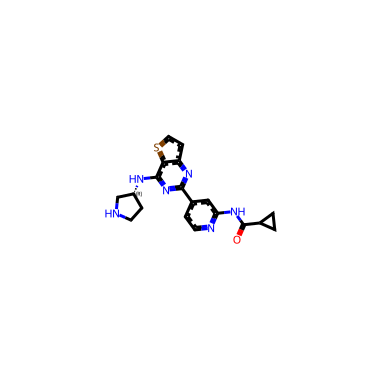 O=C(Nc1cc(-c2nc(N[C@@H]3CCNC3)c3sccc3n2)ccn1)C1CC1